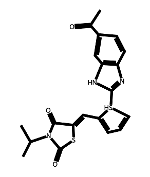 CC(=O)c1ccc2nc([SH]3C=CC=C3/C=C3\SC(=O)N(C(C)C)C3=O)[nH]c2c1